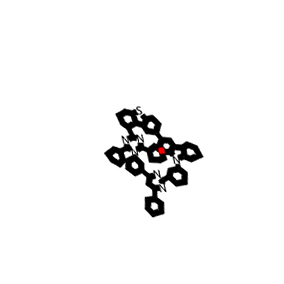 c1ccc(-c2cc(-c3ccccc3)nc(-c3cccc(-n4c5ccccc5c5cc(-c6ccc7sc8cccc(-c9nc(-c%10ccccc%10)nc(-c%10ccccc%10)n9)c8c7c6)ccc54)c3)n2)cc1